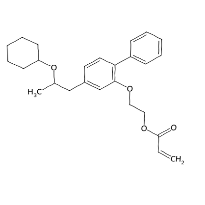 C=CC(=O)OCCOc1cc(CC(C)OC2CCCCC2)ccc1-c1ccccc1